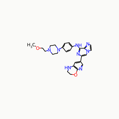 COCCN1CCN(c2ccc(Nc3nc(-c4cnc5c(c4)NCCO5)cn4ccnc34)cc2)CC1